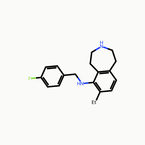 CCc1ccc2c(c1NCc1ccc(F)cc1)CCNCC2